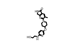 Cc1cc2c(nc1N1CCC(Oc3ccc(NCCO)nc3)CC1)CNC2=O